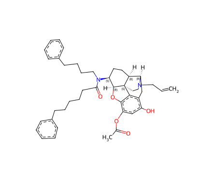 C=CCN1CC[C@]23c4c5c(O)cc(OC(C)=O)c4O[C@H]2[C@@H](N(CCCCc2ccccc2)C(=O)CCCCCc2ccccc2)CC[C@H]3[C@H]1C5